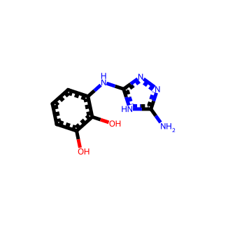 Nc1nnc(Nc2cccc(O)c2O)[nH]1